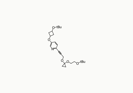 CC(C)(C)OCCOC1(OCC#Cc2ccc(OC3CC(OC(C)(C)C)C3)cn2)CC1